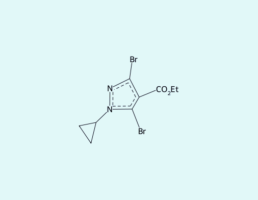 CCOC(=O)c1c(Br)nn(C2CC2)c1Br